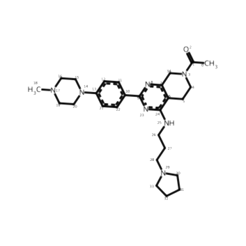 CC(=O)N1CCc2c(nc(-c3ccc(N4CCN(C)CC4)cc3)nc2NCCCN2CCCC2)C1